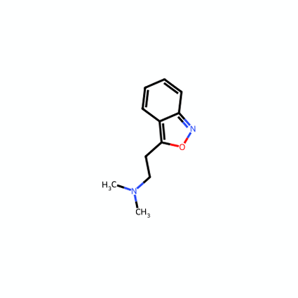 CN(C)CCc1onc2ccccc12